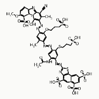 COc1ccc2nc3c(C#N)c(C)c(N=Nc4cc(C)c(N=Nc5cc(NC(C)=O)c(N=Nc6nc7c(S(=O)(=O)O)cc8c(S(=O)(=O)O)cc(S(=O)(=O)O)cc8c7s6)cc5SCCCS(=O)(=O)O)cc4OCCCS(=O)(=O)O)c(O)n3c2c1S(=O)(=O)O